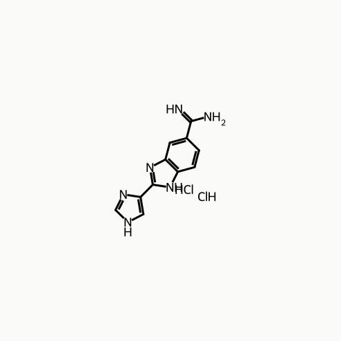 Cl.Cl.N=C(N)c1ccc2[nH]c(-c3c[nH]cn3)nc2c1